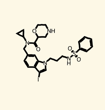 O=C(C1CNCCO1)N(Cc1ccc2c(I)cn(CCCNS(=O)(=O)c3ccccc3)c2c1)C1CC1